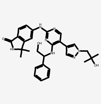 CC(C)(O)Cn1cc(-c2cnc(Nc3ccc4c(c3)C(C)(C)NC4=O)nc2NC(CO)c2ccccc2)cn1